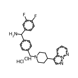 Cl.Cl.NC(c1ccc(CN2CCC(c3cnn4ncccc34)CC2)cc1)c1ccc(F)c(F)c1